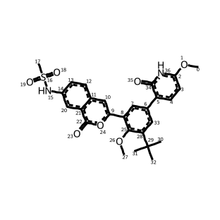 COc1ccc(-c2cc(-c3cc4ccc(NS(C)(=O)=O)cc4c(=O)o3)c(OC)c(C(C)(C)C)c2)c(=O)[nH]1